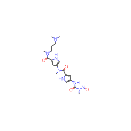 CN(C)CCCN(C)C(=O)c1cc(N(C)C(=O)c2cc(NC(=O)N(C)N=O)c[nH]2)c[nH]1